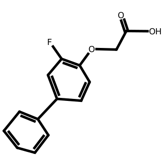 O=C(O)COc1ccc(-c2ccccc2)cc1F